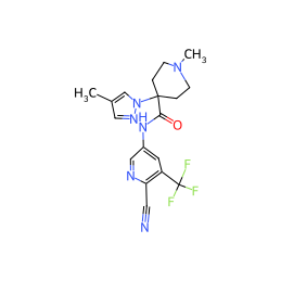 Cc1cnn(C2(C(=O)Nc3cnc(C#N)c(C(F)(F)F)c3)CCN(C)CC2)c1